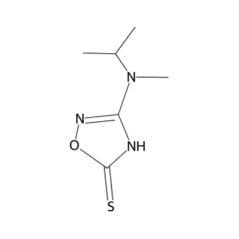 CC(C)N(C)c1noc(=S)[nH]1